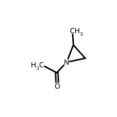 CC(=O)N1CC1C